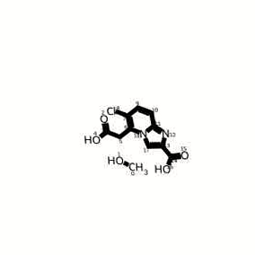 CO.O=C(O)Cc1c(Cl)ccc2nc(C(=O)O)cn12